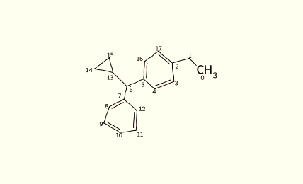 CCc1ccc([C](c2ccccc2)C2CC2)cc1